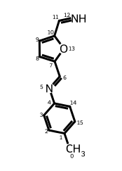 Cc1ccc(N=Cc2ccc(C=N)o2)cc1